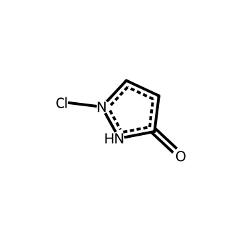 O=c1ccn(Cl)[nH]1